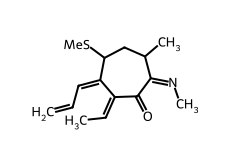 C=C/C=C1\C(=C/C)C(=O)/C(=N\C)C(C)CC1SC